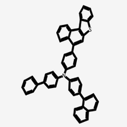 c1ccc(-c2ccc(N(c3ccc(-c4cccc5ccccc45)cc3)c3ccc(-c4cc5sc6ccccc6c5c5ccccc45)cc3)cc2)cc1